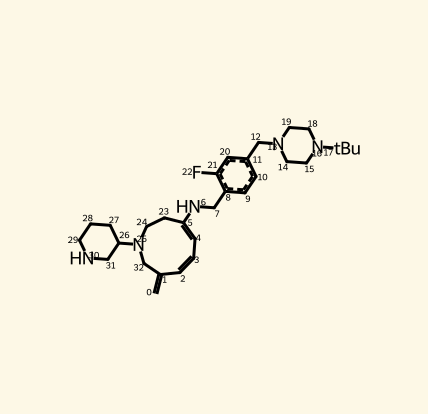 C=C1/C=C\C=C(\NCc2ccc(CN3CCN(C(C)(C)C)CC3)cc2F)CCN(C2CCCNC2)C1